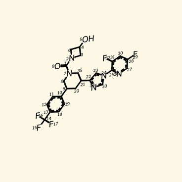 O=C(N1CC(O)C1)N1CC(c2ccc(C(F)(F)F)cc2)CC(c2cn(-c3ncc(F)cc3F)cn2)C1